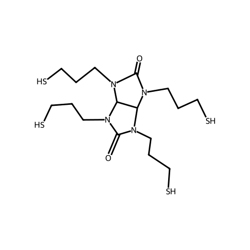 O=C1N(CCCS)C2C(N1CCCS)N(CCCS)C(=O)N2CCCS